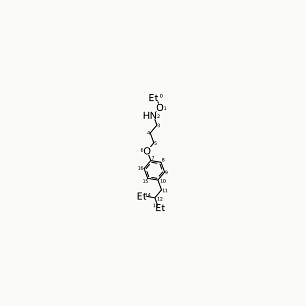 CCONCCCOc1ccc(CC(CC)CC)cc1